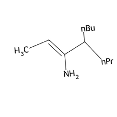 C/C=C(\N)C(CCC)CCCC